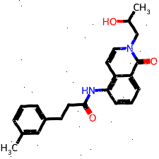 Cc1cccc(CCC(=O)Nc2cccc3c(=O)n(CC(C)O)ccc23)c1